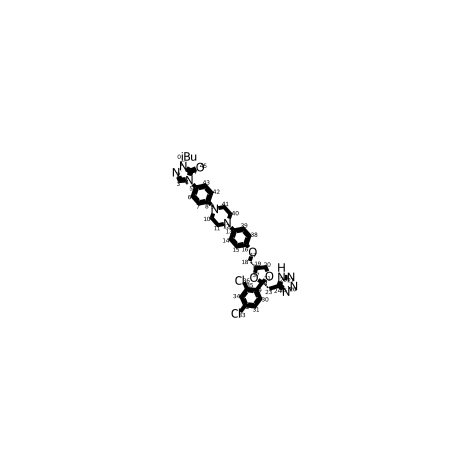 CCC(C)n1ncn(-c2ccc(N3CCN(c4ccc(OC[C@@H]5CO[C@@](Cc6nnn[nH]6)(c6ccc(Cl)cc6Cl)O5)cc4)CC3)cc2)c1=O